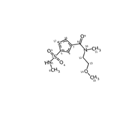 CNS(=O)(=O)c1cc(C(=O)N(C)CCOC)cs1